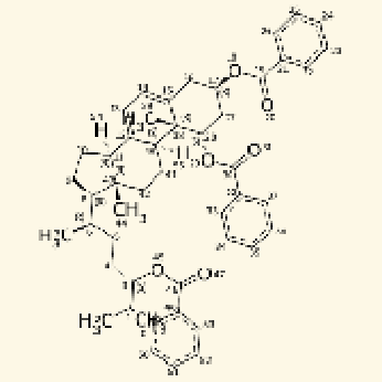 CC(C)[C@H](CC[C@@H](C)[C@H]1CC[C@H]2C3=CC=C4C[C@@H](OC(=O)c5ccccc5)C[C@H](OC(=O)c5ccccc5)[C@]4(C)[C@H]3CC[C@]12C)OC(=O)c1ccccc1